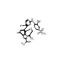 CC(O)c1nc2c(F)cc(-c3nc(NC4CCN(S(C)(=O)=O)CC4O)ncc3F)c3c2n1C(C)CO3